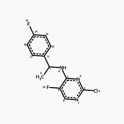 CC(Nc1nc(Cl)ncc1F)c1ccc(F)cc1